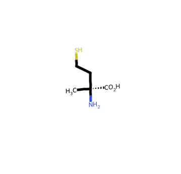 C[C@](N)(CCS)C(=O)O